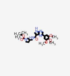 COc1cc(-c2cnc3[nH]cc(C(=O)NCC4CCN(C(=O)OC(C)(C)C)C4)c3n2)cc(OC)c1OC